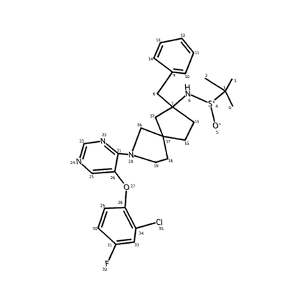 CC(C)(C)[S+]([O-])NC1(Cc2ccccc2)CCC2(CCN(c3ncncc3Oc3ccc(F)cc3Cl)C2)C1